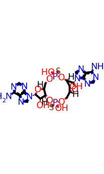 Nc1ncnc2c1ncn2[C@@H]1O[C@@H]2COP(O)(=S)O[C@@H]3C(O)[C@@H](COP(O)(=S)O[C@H]2[C@H]1O)O[C@H]3n1cnc2c(N)ncnc21